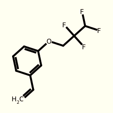 C=Cc1cccc(OCC(F)(F)C(F)F)c1